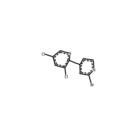 Clc1cnc(-c2[c]c(Br)ncc2)c(Cl)c1